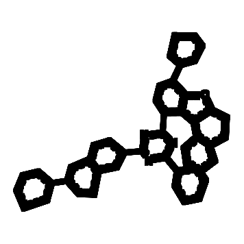 c1ccc(-c2ccc3cc(-c4nc(-c5ccccc5)nc(-c5ccc(-c6ccccc6)c6oc7ccc8ccccc8c7c56)n4)ccc3c2)cc1